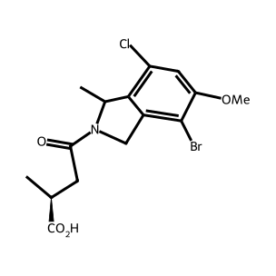 COc1cc(Cl)c2c(c1Br)CN(C(=O)C[C@H](C)C(=O)O)C2C